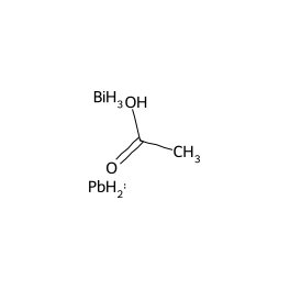 CC(=O)O.[BiH3].[PbH2]